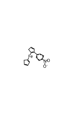 O=[N+]([O-])c1ccc(C2=[C]([Fe][C]3=CC=CC3)CC=C2)cc1